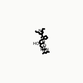 CCc1cc(CC[C@@]2(C3CCCC3)CC(O)=C(Cc3nc4nc(C)cc(C)n4n3)C(=O)O2)cc(CC)n1